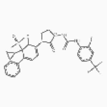 CP(C)(=O)C1(C2CC2)C(c2ccccc2)=CC=C(N2CC[C@@H](NC(=O)Nc3ccc(C(F)(F)F)cc3F)C2=O)C1F